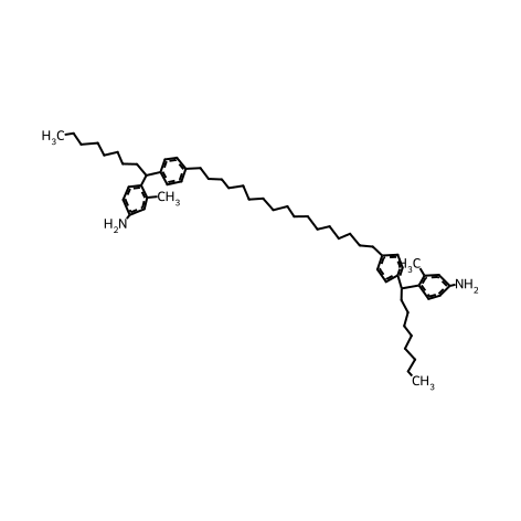 CCCCCCCCC(c1ccc(CCCCCCCCCCCCCCCCCc2ccc(C(CCCCCCCC)c3ccc(N)cc3C)cc2)cc1)c1ccc(N)cc1C